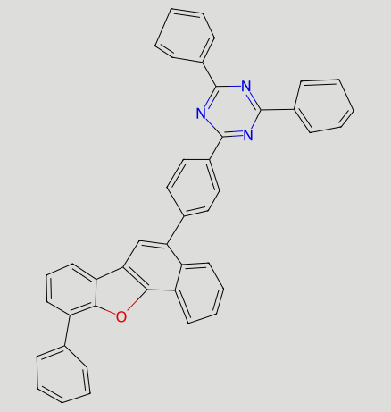 c1ccc(-c2nc(-c3ccccc3)nc(-c3ccc(-c4cc5c6cccc(-c7ccccc7)c6oc5c5ccccc45)cc3)n2)cc1